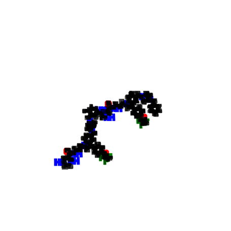 Cc1ccc(C2CNCC(C(=O)NCCCn3cc(-c4ccc(OC(F)(F)F)cc4)c4cc(CN5CC6CC5CN6Cc5ccccc5)ccc43)N2)cc1CN1CC2CC1CN2Cc1ccc2c(c1)c(-c1ccc(OC(F)(F)F)cc1)cn2CCCNC(=O)C1CNCCN1